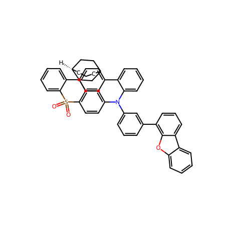 O=S1(=O)c2ccccc2C2(CC3CCC[C@@H]2CC3)c2cc(N(c3cccc(-c4cccc5c4oc4ccccc45)c3)c3ccccc3-c3ccccc3)ccc21